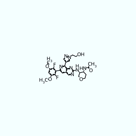 COc1cc(OC)c(F)c(-c2cc3cnc(N[C@@H]4COCC[C@@H]4NC(C)=O)nc3c(-c3cnn(CCO)c3)n2)c1F